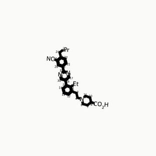 CCc1c(CCN2CCC(C(=O)O)CC2)cccc1-c1cnc(-c2ccc(CC(C)C)c(C#N)c2)nc1